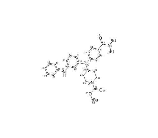 CCN(CC)C(=O)c1ccc([C@@H](c2cccc(Nc3ccccc3)c2)N2CCN(C(=O)OC(C)(C)C)CC2)cc1